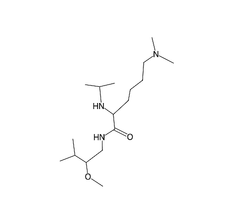 COC(CNC(=O)C(CCCCN(C)C)NC(C)C)C(C)C